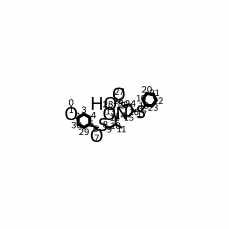 COc1ccc(C(=O)SCC(C)C(=O)N2CC(Sc3ccccc3)C[C@H]2C(=O)O)cc1